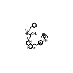 CC(COc1ccc2ncc(F)c(CCC34CCC(NC(=O)OC(C)(C)C)(CC3)CO4)c2n1)NC(=O)OCc1ccccc1